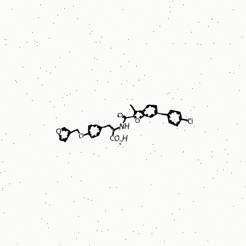 Cc1c(C(=O)NC(Cc2ccc(OCc3ccoc3)cc2)C(=O)O)oc2cc(-c3ccc(Cl)cc3)ccc12